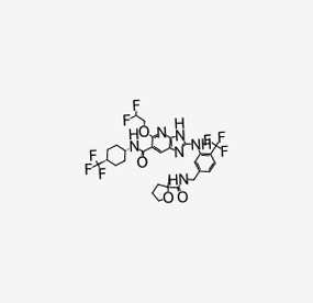 CC1(C(=O)NCc2ccc(C(F)(F)F)c(Nc3nc4cc(C(=O)N[C@H]5CC[C@H](C(F)(F)F)CC5)c(OCC(F)F)nc4[nH]3)c2)CCCO1